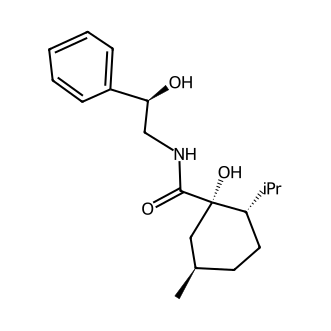 CC(C)[C@@H]1CC[C@@H](C)C[C@@]1(O)C(=O)NC[C@H](O)c1ccccc1